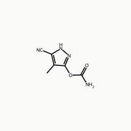 Cc1c(OC(N)=O)n[nH]c1C#N